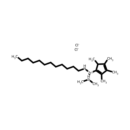 CCCCCCCCCCCC[NH][Zr+2]([C]1=C(C)C(C)=C(C)C1C)[SiH](C)C.[Cl-].[Cl-]